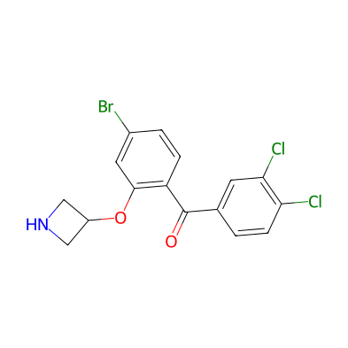 O=C(c1ccc(Cl)c(Cl)c1)c1ccc(Br)cc1OC1CNC1